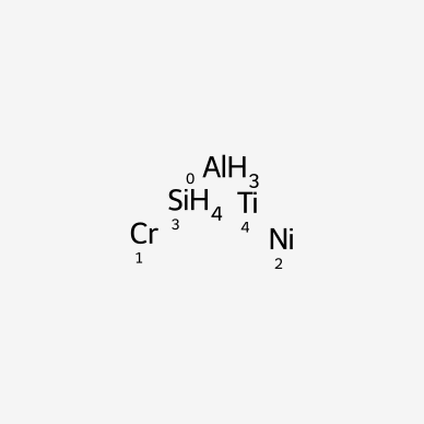 [AlH3].[Cr].[Ni].[SiH4].[Ti]